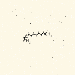 CC=C=CCCCCCCC